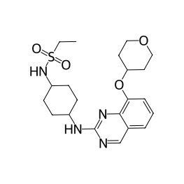 CCS(=O)(=O)NC1CCC(Nc2ncc3cccc(OC4CCOCC4)c3n2)CC1